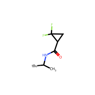 CC(NC(=O)C1CC1(F)F)C(C)(C)C